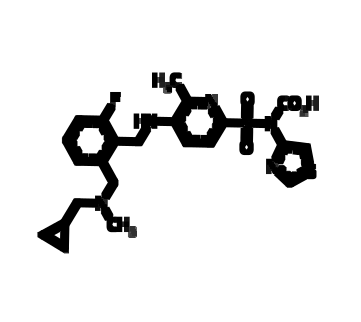 Cc1nc(S(=O)(=O)N(C(=O)O)c2cscn2)ccc1NCc1c(F)cccc1CN(C)CC1CC1